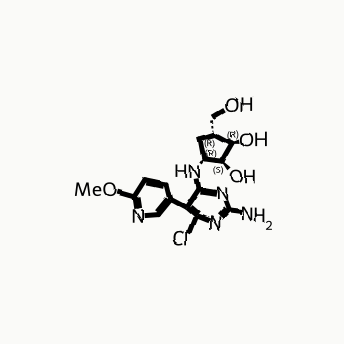 COc1ccc(-c2c(Cl)nc(N)nc2N[C@@H]2C[C@H](CO)[C@@H](O)[C@H]2O)cn1